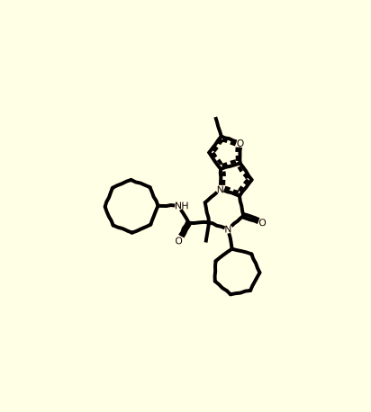 Cc1cc2c(cc3n2CC(C)(C(=O)NC2CCCCCCC2)N(C2CCCCCC2)C3=O)o1